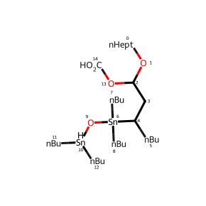 CCCCCCCOC(C[CH](CCCC)[Sn]([CH2]CCC)([CH2]CCC)[O][SnH]([CH2]CCC)[CH2]CCC)OC(=O)O